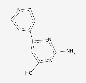 Nc1nc(O)cc(-c2ccncc2)n1